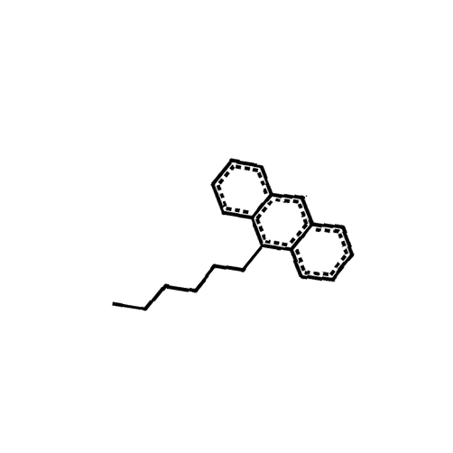 CCCCCCc1c2ccccc2[c]c2ccccc12